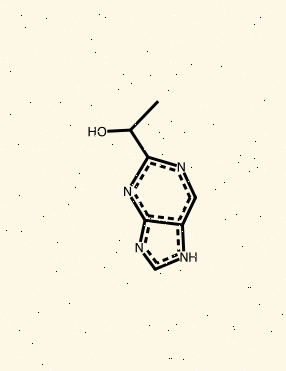 CC(O)c1ncc2[nH]cnc2n1